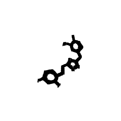 Cc1ccc(Cc2nnc(/C=C/c3ccc(F)cc3F)o2)cc1Br